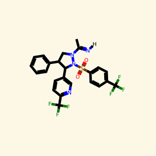 [H]/N=C(\C)N1CC(c2ccccc2)C(c2ccc(C(F)(F)F)nc2)N1S(=O)(=O)c1ccc(C(F)(F)F)cc1